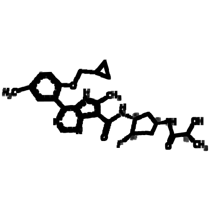 Cc1ccc(OCC2CC2)c(-c2ncnc3c(C(=O)N[C@@H]4C[C@@H](NC(=O)[C@H](C)O)C[C@H]4F)c(C)[nH]c23)c1